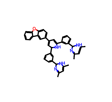 CC1=CC(C)=NC(c2cccc(C3=CC(c4ccc5oc6ccccc6c5c4)=CC(c4cccc(C5N=C(C)C=C(C)N5)c4)N3)c2)N1